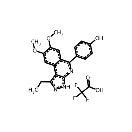 CCc1n[nH]c2nc(-c3ccc(O)cc3)c3cc(OC)c(OC)cc3c12.O=C(O)C(F)(F)F